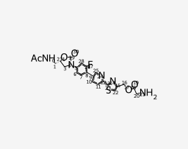 CC(=O)NC[C@H]1CN(c2ccc(-c3ccc(-c4nc(COC(=O)CN)cs4)nc3)c(F)c2)C(=O)O1